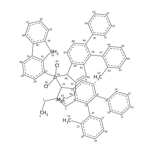 CCC1=Cc2c(ccc(-c3ccccc3)c2-c2ccccc2C)[CH]1[Zr]([Cl])([Cl])([c]1cccc2c1[SiH2]c1ccccc1-2)[CH]1C(CC)=Cc2c1ccc(-c1ccccc1)c2-c1ccccc1C